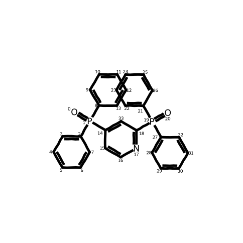 O=P(c1ccccc1)(c1ccccc1)c1ccnc(P(=O)(c2ccccc2)c2ccccc2)c1